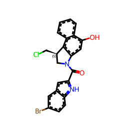 O=C(c1cc2cc(Br)ccc2[nH]1)N1C[C@@H](CCl)c2c1cc(O)c1ccccc21